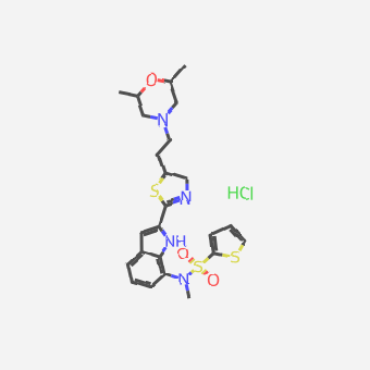 CC1CN(CCC2CN=C(c3cc4cccc(N(C)S(=O)(=O)c5cccs5)c4[nH]3)S2)CC(C)O1.Cl